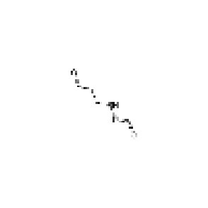 O=CCCBP=S=O